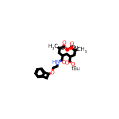 CC(CC(CC(CC(C)C(=O)OC(C)(C)C)C(=O)OC(C)(C)C)C(=O)NCCOC1Cc2ccccc21)C(=O)OC(C)(C)C